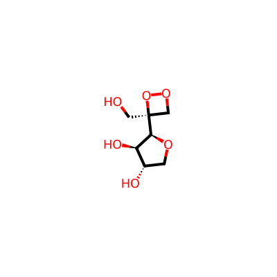 OC[C@@]1([C@H]2OC[C@H](O)[C@H]2O)COO1